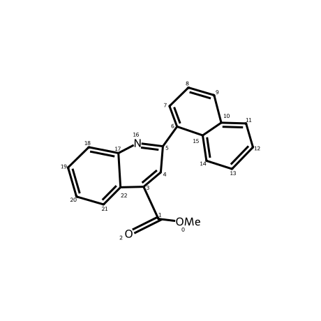 COC(=O)c1cc(-c2cccc3ccccc23)nc2ccccc12